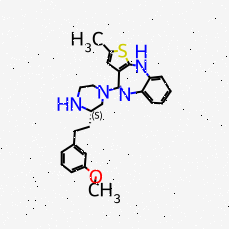 COc1cccc(CC[C@H]2CN(C3=Nc4ccccc4Nc4sc(C)cc43)CCN2)c1